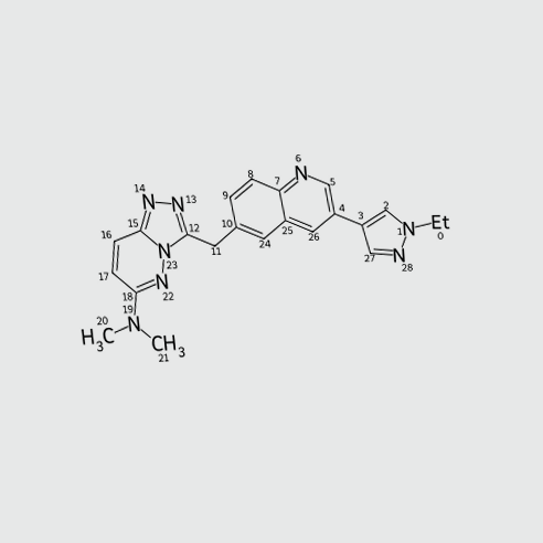 CCn1cc(-c2cnc3ccc(Cc4nnc5ccc(N(C)C)nn45)cc3c2)cn1